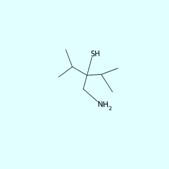 CC(C)C(S)(CN)C(C)C